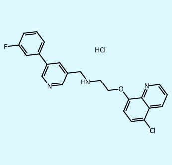 Cl.Fc1cccc(-c2cncc(CNCCOc3ccc(Cl)c4cccnc34)c2)c1